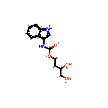 O=C(Nc1c[nH]c2ccccc12)OCCC(O)CO